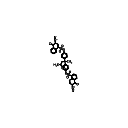 CC(C)CC(C)(c1ccc(OS(=O)(=O)C2=CC(=[N+]=[N-])C(=O)c3ccccc32)cc1)c1ccc(OS(=O)(=O)c2cccc3c2C=CC(=[N+]=[N-])C3=O)cc1